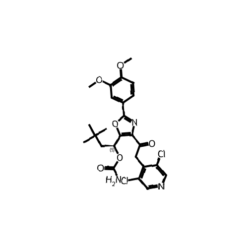 COc1ccc(-c2nc(C(=O)Cc3c(Cl)cncc3Cl)c([C@H](CC(C)(C)C)OC(N)=O)o2)cc1OC